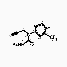 C#CCN(C(=S)NC(C)=O)c1cccc(C(F)(F)F)c1